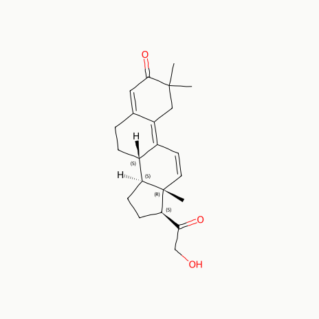 CC1(C)CC2=C3C=C[C@]4(C)[C@@H](C(=O)CO)CC[C@H]4[C@@H]3CCC2=CC1=O